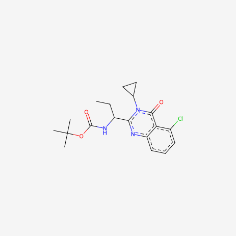 CCC(NC(=O)OC(C)(C)C)c1nc2cccc(Cl)c2c(=O)n1C1CC1